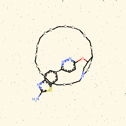 Nc1nc2ccc(-c3ccc(OC4CN5CCCCCCCCCCCCCCCCCCCCCC4CC5)nn3)cc2s1